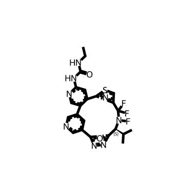 CCNC(=O)Nc1cc2c(cn1)-c1cncc(c1)-c1nnc(o1)[C@H](C(C)C)N(F)C(F)(F)c1csc-2n1